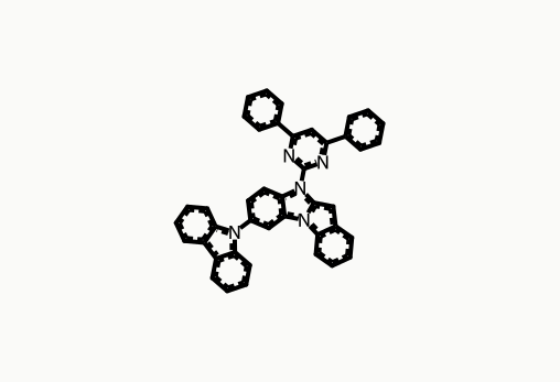 c1ccc(-c2cc(-c3ccccc3)nc(-n3c4ccc(-n5c6ccccc6c6ccccc65)cc4n4c5ccccc5cc34)n2)cc1